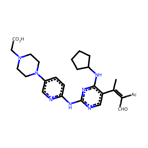 CC(=O)/C(C=O)=C(\C)c1cnc(Nc2ccc(N3CCN(CC(=O)O)CC3)cn2)nc1NC1CCCC1